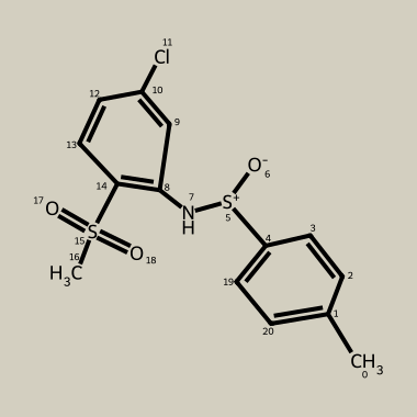 Cc1ccc([S+]([O-])Nc2cc(Cl)ccc2S(C)(=O)=O)cc1